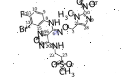 Cn1c(CO/N=C(\Nc2ccc(F)c(Br)c2)c2nonc2NCCS(C)(=O)=O)cnc1[N+](=O)[O-]